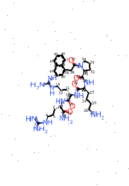 N=C(N)NCCC[C@H](NC(=O)[C@H](CCCNC(=N)N)NC(=O)[C@H](CCCCN)NC(=O)[C@@H]1CCCN1C(=O)Cc1cccc2ccccc12)C(N)=O